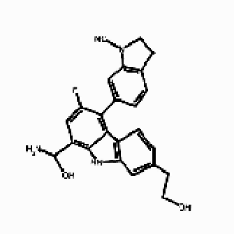 N#CN1CCc2ccc(-c3c(F)cc(C(N)O)c4[nH]c5cc(CCO)ccc5c34)cc21